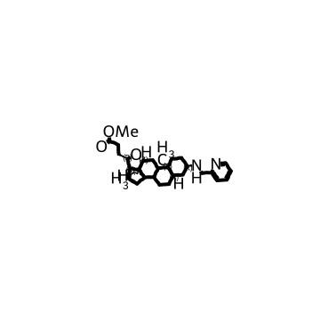 COC(=O)CC[C@H]1O[C@H]2CC3C(CC[C@@H]4C[C@H](NCc5ccccn5)CC[C@]34C)C3CC[C@H]1[C@]32C